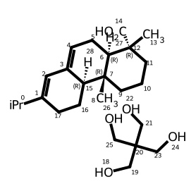 CC(C)C1=CC2=CC[C@@H]3[C@](C)(CCC[C@@]3(C)C(=O)O)[C@H]2CC1.OCC(CO)(CO)CO